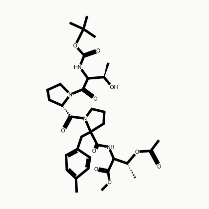 COC(=O)C(NC(=O)C1(Cc2ccc(C)cc2)CCCN1C(=O)[C@@H]1CCCN1C(=O)C(NC(=O)OC(C)(C)C)[C@@H](C)O)[C@@H](C)OC(C)=O